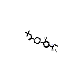 C=C(CC(C)(C)C)N1CCN(c2ncc(/C(N)=N/C)cc2Cl)CC1